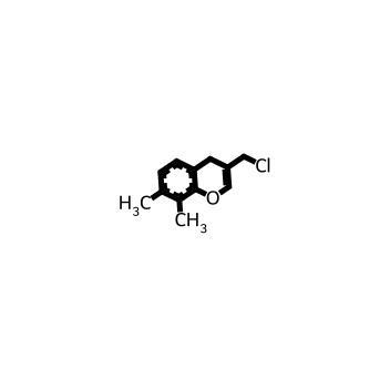 Cc1ccc2c(c1C)OC=C(CCl)C2